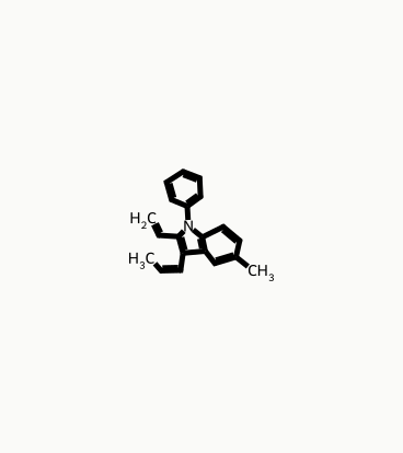 C=Cc1c(/C=C\C)c2cc(C)ccc2n1-c1ccccc1